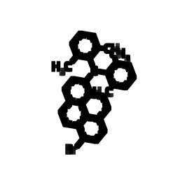 Cc1cccc(C)c1B(c1c(C)cccc1C)c1ccc2ccc3c(Br)ccc4ccc1c2c43